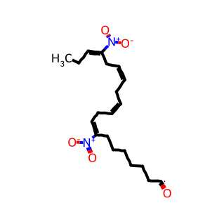 CC/C=C(\C/C=C\C/C=C\C/C=C(\CCCCCC[C]=O)[N+](=O)[O-])[N+](=O)[O-]